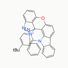 CC(C)(C)c1cc[n+]2c(c1)-n1c3ccccc3c3ccc4c(c31)C21c2c(cccc2N2C=CN(c3ccccc3)C21)O4